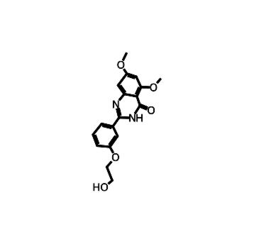 COc1cc(OC)c2c(=O)[nH]c(-c3cccc(OCCO)c3)nc2c1